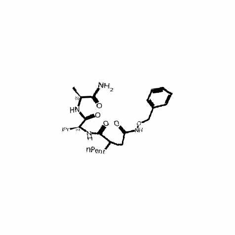 CCCCCC(CC(=O)NOCc1ccccc1)C(=O)N[C@H](C(=O)N[C@@H](C)C(N)=O)C(C)C